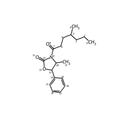 CCCC(C)CCC(=O)N1C(=O)OC(c2ccccc2)C1C